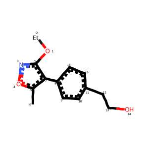 CCOc1noc(C)c1-c1ccc(CCO)cc1